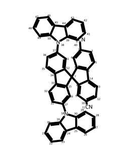 N#Cc1ccc2c(c1)C1(c3cc(C#N)ccc3-2)c2cc(-n3c4ccccc4c4ccccc43)ccc2-c2ccc(-n3c4ccccc4c4ccccc43)cc21